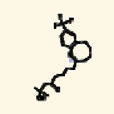 CC(C)(O)CC(=O)CCCC/C1=N/c2ccc(C(F)(F)F)cc2CCCC1